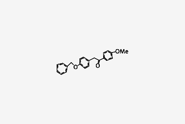 COc1ccc(C(=O)Cc2ccc(OCc3ccccc3)cc2)cc1